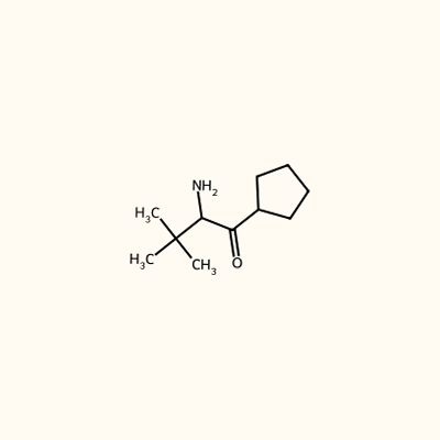 CC(C)(C)C(N)C(=O)C1CCCC1